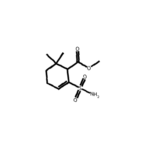 COC(=O)C1C(S(N)(=O)=O)=CCCC1(C)C